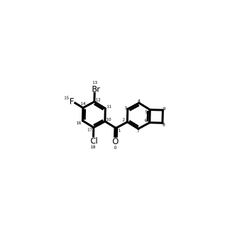 O=C(c1ccc2c(c1)CC2)c1cc(Br)c(F)cc1Cl